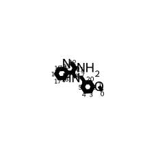 COc1cccc(CNc2c(N)cnc3ccccc23)c1